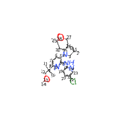 C=C(C)CN(c1ccc(C(C)(C)COC)nc1Nc1ccc(Cl)cn1)C1CCOCC1